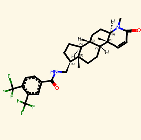 CN1C(=O)C=C[C@]2(C)[C@H]3CC[C@]4(C)[C@@H](CNC(=O)c5ccc(C(F)(F)F)c(C(F)(F)F)c5)CC[C@H]4[C@@H]3CC[C@@H]12